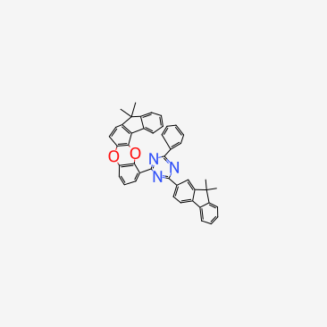 CC1(C)c2ccccc2-c2ccc(-c3nc(-c4ccccc4)nc(-c4cccc5c4Oc4c(ccc6c4-c4ccccc4C6(C)C)O5)n3)cc21